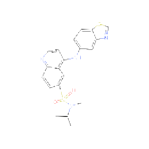 CC(C)N(C)S(=O)(=O)c1ccc2nccc(Nc3ccc4scnc4c3)c2c1